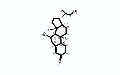 CC(CO)[C@H]1CC[C@H]2[C@@H]3C(O)CC4=CC(=O)CC[C@]4(C)[C@H]3CC[C@]12C